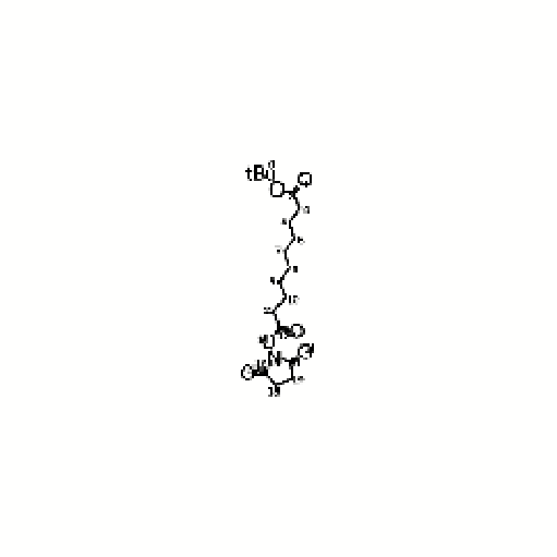 CC(C)(C)OC(=O)CCCCCCCCC(=O)ON1C(=O)CCC1=O